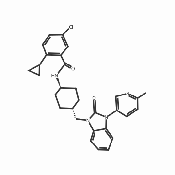 Cc1ccc(-n2c(=O)n(C[C@H]3CC[C@H](NC(=O)c4cc(Cl)ccc4C4CC4)CC3)c3ccccc32)cn1